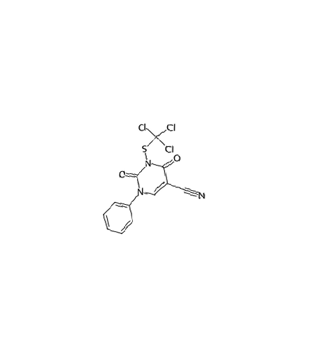 N#Cc1cn(-c2ccccc2)c(=O)n(SC(Cl)(Cl)Cl)c1=O